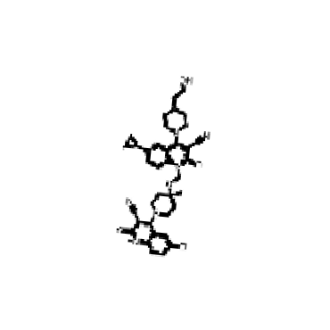 CC1(OCn2c(=O)c(C#N)c(N3CCC(CCO)CC3)c3cc(C4CC4)ccc32)CCN(c2c(C#N)c(=O)[nH]c3ccc(Cl)cc23)CC1